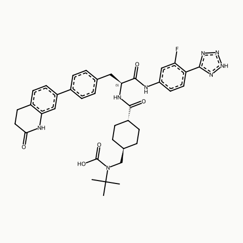 CC(C)(C)N(C[C@H]1CC[C@H](C(=O)N[C@@H](Cc2ccc(-c3ccc4c(c3)NC(=O)CC4)cc2)C(=O)Nc2ccc(-c3nn[nH]n3)c(F)c2)CC1)C(=O)O